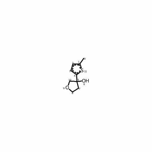 Cc1ccc(C2(O)CCOC2)s1